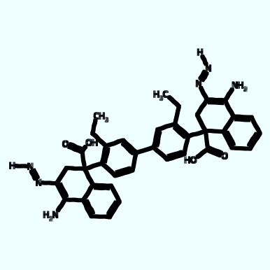 [H]/N=N/C1=C(N)c2ccccc2C(C(=O)O)(c2ccc(-c3ccc(C4(C(=O)O)CC(/N=N/[H])=C(N)c5ccccc54)c(CC)c3)cc2CC)C1